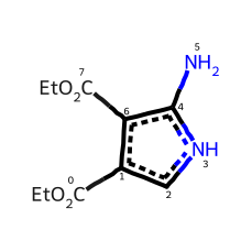 CCOC(=O)c1c[nH]c(N)c1C(=O)OCC